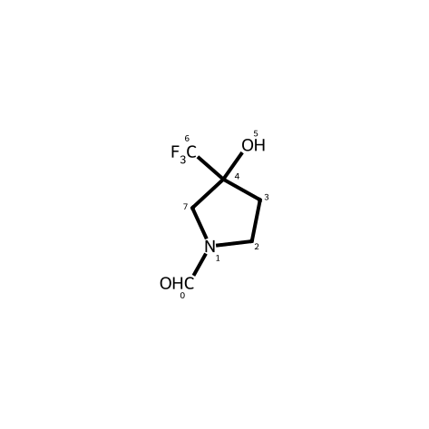 O=CN1CCC(O)(C(F)(F)F)C1